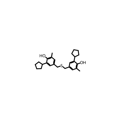 Cc1cc(CSCc2cc(C)c(O)c(C3CCCC3)c2)cc(C2CCCC2)c1O